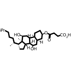 CC(C)CCC[C@@H](C)[C@H]1CC[C@H]2[C@@H]3[C@H](O)C[C@@H]4C[C@H](OC(=O)CCC(=O)O)CC[C@]4(C)[C@H]3C[C@H](O)[C@]12C